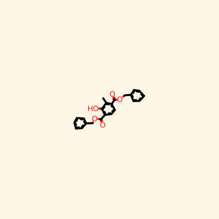 Cc1c(C(=O)OCc2ccccc2)ccc(C(=O)OCc2ccccc2)c1O